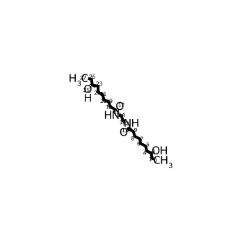 CCC(O)CCCCCCC(=O)NCCNC(=O)CCCCCCC(O)CC